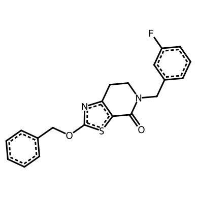 O=C1c2sc(OCc3ccccc3)nc2CCN1Cc1cccc(F)c1